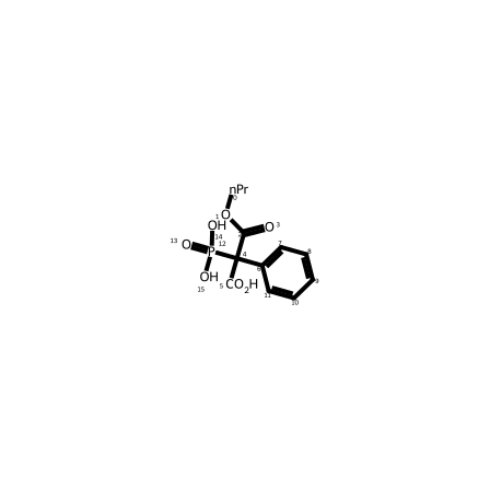 CCCOC(=O)C(C(=O)O)(c1ccccc1)P(=O)(O)O